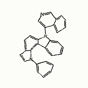 c1ccc(-n2ccc3ccc4c(c5ccccc5n4-c4cncc5ccccc45)c32)cc1